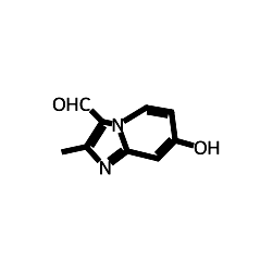 Cc1nc2cc(O)ccn2c1C=O